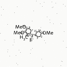 COc1ccc([I+]c2ccc(OC)c(OC)c2C)cc1.[F-]